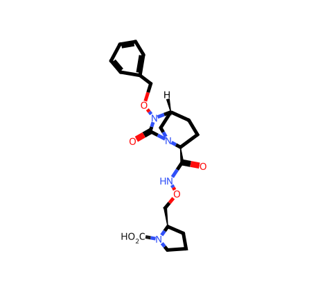 O=C(NOC[C@H]1CCCN1C(=O)O)[C@@H]1CC[C@@H]2CN1C(=O)N2OCc1ccccc1